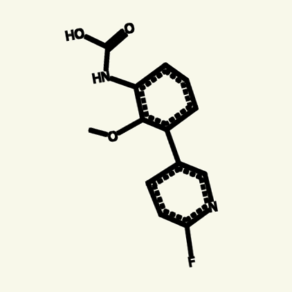 COc1c(NC(=O)O)cccc1-c1ccc(F)nc1